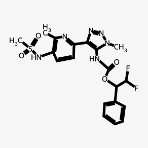 Cc1nc(-c2nnn(C)c2NC(=O)OC(c2ccccc2)C(F)F)ccc1NS(C)(=O)=O